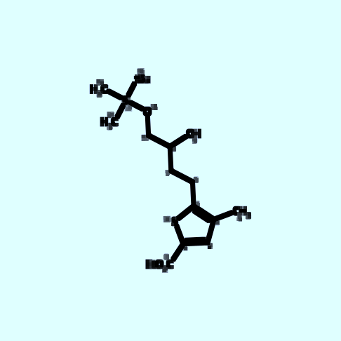 CCOC(=O)c1cc(C)c(CCC(O)CO[Si](C)(C)C(C)(C)C)s1